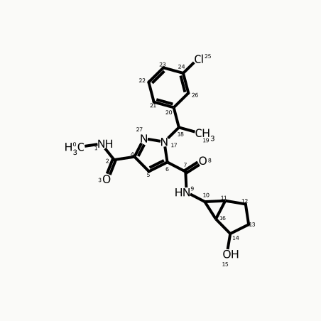 CNC(=O)c1cc(C(=O)NC2C3CCC(O)C32)n(C(C)c2cccc(Cl)c2)n1